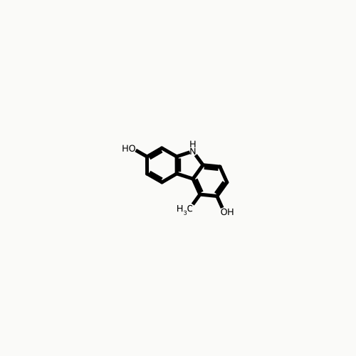 Cc1c(O)ccc2[nH]c3cc(O)ccc3c12